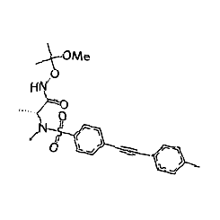 COC(C)(C)ONC(=O)[C@@H](C)N(C)S(=O)(=O)c1ccc(C#Cc2ccc(C)cc2)cc1